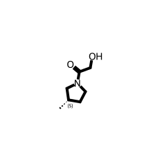 C[C@H]1CCN(C(=O)CO)C1